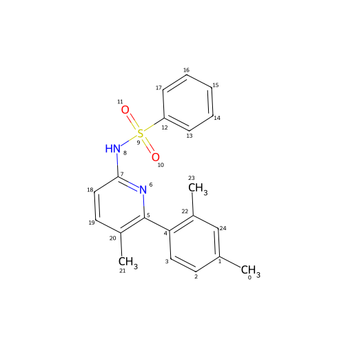 Cc1ccc(-c2nc(NS(=O)(=O)c3ccccc3)ccc2C)c(C)c1